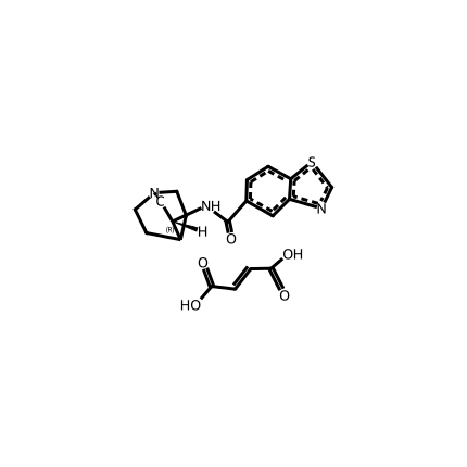 O=C(N[C@H]1CN2CCC1CC2)c1ccc2scnc2c1.O=C(O)C=CC(=O)O